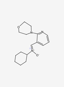 [O-]/[N+](=C\c1cccnc1N1CCOCC1)C1CCCCC1